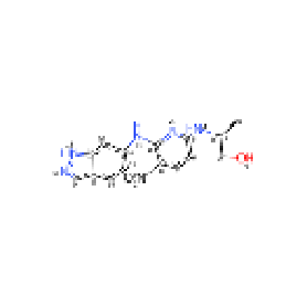 C[C@@H](CO)Nc1ccc([N+](=O)[O-])c(Nc2ccc3cn[nH]c3c2)n1